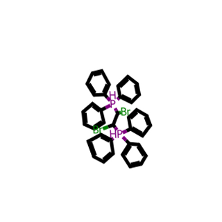 BrC(C(Br)[PH](c1ccccc1)(c1ccccc1)c1ccccc1)[PH](c1ccccc1)(c1ccccc1)c1ccccc1